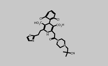 CC(C)(C#N)CN1CCN(C(=O)CC2=C(C(=O)O)C(c3c(Cl)cccc3Cl)C(C(=O)O)=C(CCc3nccs3)N2)CC1